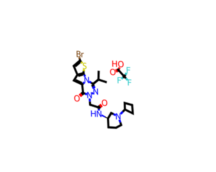 CC(C)c1nn(CC(=O)N[C@@H]2CCCN(C3CCC3)C2)c(=O)c2cc3cc(Br)sc3n12.O=C(O)C(F)(F)F